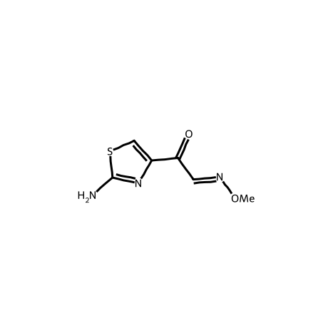 CON=CC(=O)c1csc(N)n1